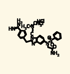 CN(C)CCn1c(Cc2ccc(C(=N)N)cc2)nc2cc(N(CC(N)=O)S(=O)(=O)c3ccccc3)ccc21.Cl.Cl